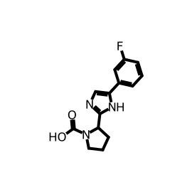 O=C(O)N1CCCC1c1ncc(-c2cccc(F)c2)[nH]1